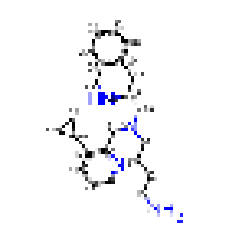 NCCCCN(Cc1ncccc1C1CC1)C[C@H]1Cc2ccccc2CN1